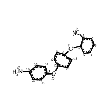 N#Cc1ccccc1Oc1ccc(Oc2ccc(N)cc2)cc1